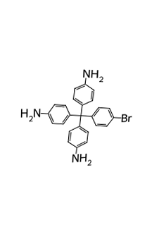 Nc1ccc(C(c2ccc(N)cc2)(c2ccc(N)cc2)c2ccc(Br)cc2)cc1